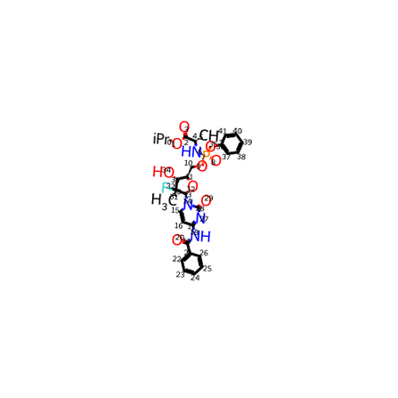 CC(C)OC(=O)[C@H](C)N[P@](=O)(OC[C@H]1O[C@@H](n2ccc(NC(=O)c3ccccc3)nc2=O)[C@](C)(F)[C@@H]1O)Oc1ccccc1